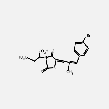 CC(=Cc1ccc(C(C)(C)C)cc1)C=C1SC(=S)N(C(CC(=O)O)C(=O)O)C1=O